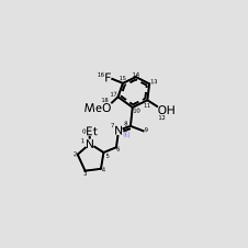 CCN1CCCC1C/N=C(\C)c1c(O)ccc(F)c1OC